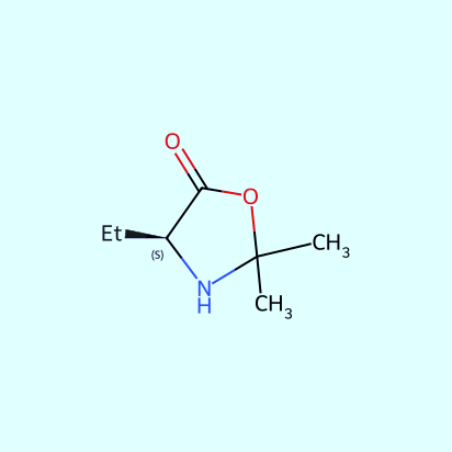 CC[C@@H]1NC(C)(C)OC1=O